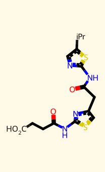 CC(C)c1cnc(NC(=O)Cc2csc(NC(=O)CCC(=O)O)n2)s1